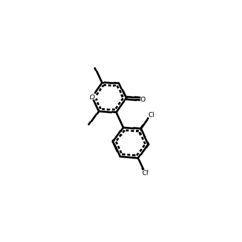 Cc1cc(=O)c(-c2ccc(Cl)cc2Cl)c(C)o1